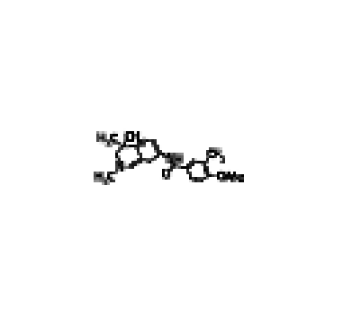 COc1ccc(C(=O)NC2=CC=C3C(=CN(C)CC3(C)C)C2)cc1C(F)(F)F